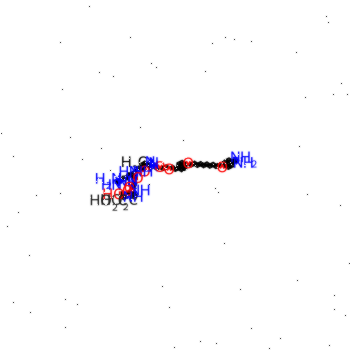 C=C(C(=O)CNNC(CCCNC(=N)N)C(=O)NCC(=O)NC(CC(=O)O)C(=O)NC(CO)C(=O)O)c1cn(COCCOCCc2ccc(OCCCCCCCCCCOc3ccc(C(=N)N)cc3)cc2)nn1